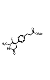 COC(=O)CCc1ccc(C2=C(Cl)N(C)NC(=O)C2)cc1